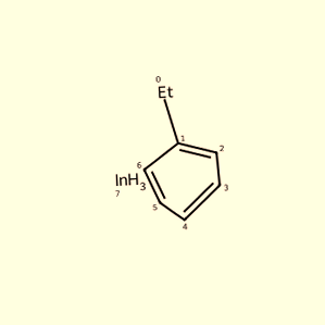 CCc1ccccc1.[InH3]